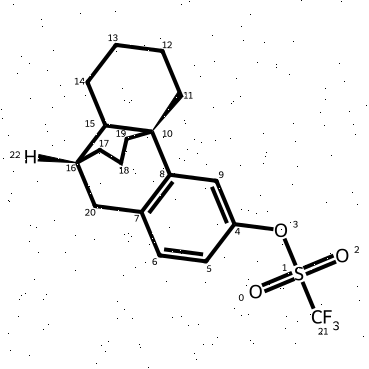 O=S(=O)(Oc1ccc2c(c1)[C@@]13CCCCC1[C@H](CCC3)C2)C(F)(F)F